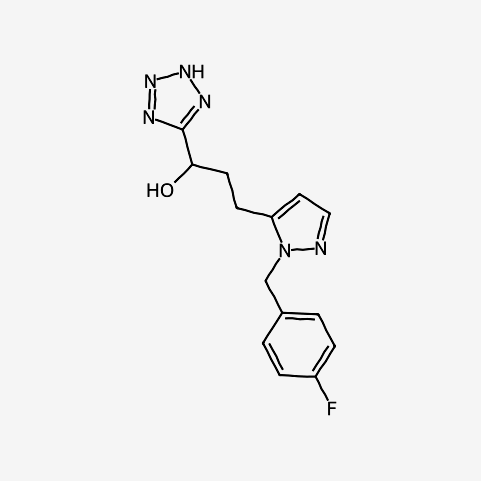 OC(CCc1ccnn1Cc1ccc(F)cc1)c1nn[nH]n1